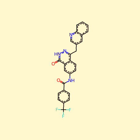 O=C(Nc1ccc2c(Cc3cnc4ccccc4c3)n[nH]c(=O)c2c1)c1ccc(C(F)(F)F)cc1